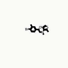 Cc1cc(C(O)CN(C)c2ccsc2C)ccc1Br